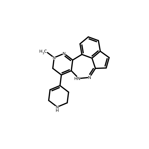 CN1CC(C2=CCNCC2)=C2NN=C3C=Cc4cccc(c43)C2=N1